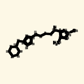 Nc1n[s+]([O-])nc1NCCCOc1csc(CN2CCCCC2)c1